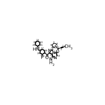 CC#CC(=O)N1CCC[C@H]1c1nc(C(=O)c2ccc(Nc3ccccc3)cc2F)c2c(N)nccn12